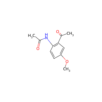 COc1ccc(NC(C)=O)c(C(C)=O)c1